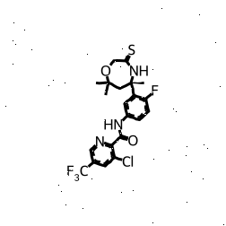 CC1(C)C[C@@](C)(c2cc(NC(=O)c3ncc(C(F)(F)F)cc3Cl)ccc2F)NC(=S)CO1